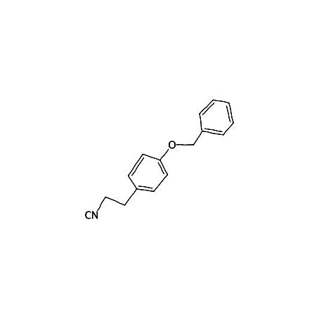 [C-]#[N+]CCc1ccc(OCc2ccccc2)cc1